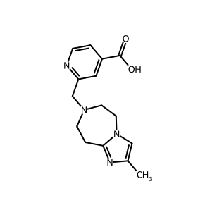 Cc1cn2c(n1)CCN(Cc1cc(C(=O)O)ccn1)CC2